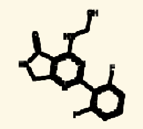 O=C1NCc2nc(-c3c(F)cccc3F)nc(NCO)c21